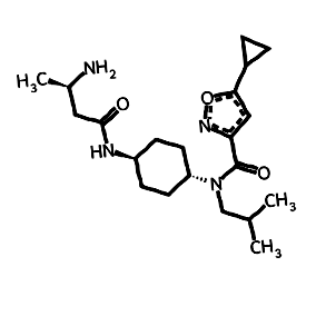 CC(C)CN(C(=O)c1cc(C2CC2)on1)[C@H]1CC[C@H](NC(=O)C[C@@H](C)N)CC1